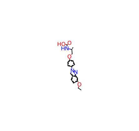 CCOc1ccc2cn(-c3ccc(OC[C@H](C)NC(=O)O)cc3)nc2c1